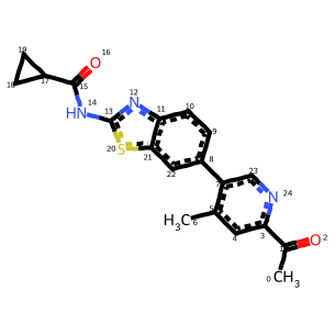 CC(=O)c1cc(C)c(-c2ccc3nc(NC(=O)C4CC4)sc3c2)cn1